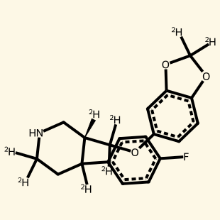 [2H]C1([2H])CC([2H])(c2ccc(F)cc2)[C@@]([2H])(C([2H])([2H])Oc2ccc3c(c2)OC([2H])([2H])O3)CN1